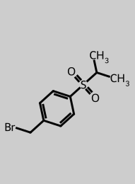 CC(C)S(=O)(=O)c1ccc(CBr)cc1